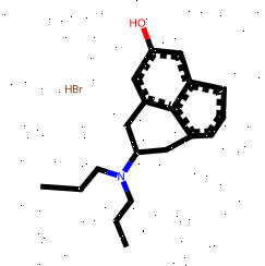 Br.CCCN(CCC)C1Cc2cccc3cc(O)cc(c23)C1